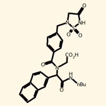 CCCCNC(=O)C(c1ccc2ccccc2c1)N(CC(=O)O)C(=O)c1ccc(CN2CC(=O)NS2(=O)=O)cc1